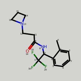 Cc1ccccc1C(NC(=O)CCN1CCC1)C(F)(F)F